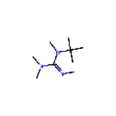 CN=C(N(C)C)N(C)C(C)(C)C